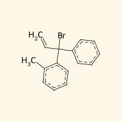 C=CC(Br)(c1ccccc1)c1ccccc1C